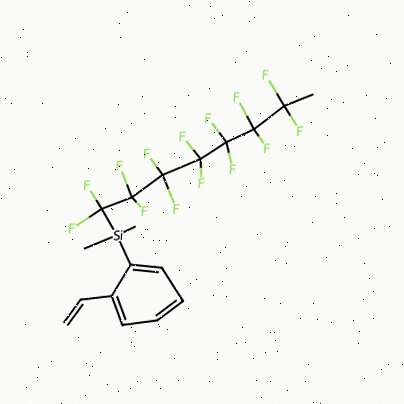 C=Cc1ccccc1[Si](C)(C)C(F)(F)C(F)(F)C(F)(F)C(F)(F)C(F)(F)C(F)(F)C(C)(F)F